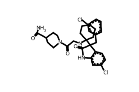 NC(=O)C1CCN(C(=O)CNC2(C3(Cc4cccc(Cl)c4)C(=O)Nc4cc(Cl)ccc43)CCCCC2)CC1